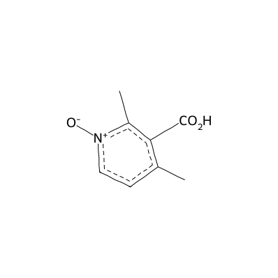 Cc1cc[n+]([O-])c(C)c1C(=O)O